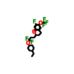 CCC1CCC(OC(F)(F)CCC2CCc3cc(OC(F)(F)F)c(F)cc3O2)CC1